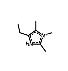 CCc1[nH]c(C)[n+](C)c1C